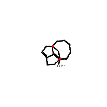 O=C/C1=C(\C2=C/CCCCCC2)CCCCCC1